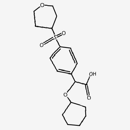 O=C(O)C(OC1CCCCC1)c1ccc(S(=O)(=O)C2CCOCC2)cc1